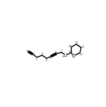 C#CCCCC#CCOC1CCCCO1